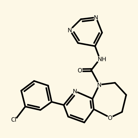 O=C(Nc1cncnc1)N1CCCOc2ccc(-c3cccc(Cl)c3)nc21